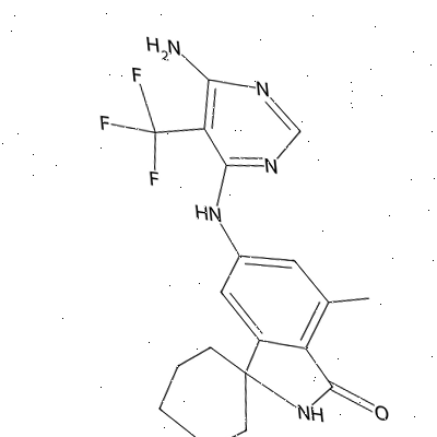 Cc1cc(Nc2ncnc(N)c2C(F)(F)F)cc2c1C(=O)NC21CCCCC1